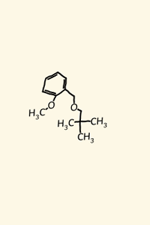 COc1ccccc1COCC(C)(C)C